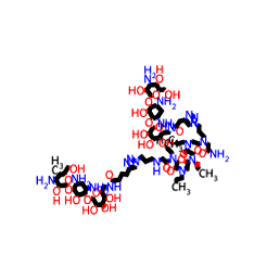 CCCN(CC(=O)N(CCC)CC(=O)N(CCC)CC(=O)N(CCC)CC(=O)N(CCCn1cc(CC(=O)NCC2OC(OC3C(N)CC(N)C(OC4OC(CO)C(O)C(N)C4O)C3O)C(O)C(O)C2O)nn1)CC(N)=O)C(=O)CNCCCn1cc(CCCC(=O)NCC2OC(OC3C(N)CC(N)C(OC4OC(CO)C(C)C(N)C4O)C3O)C(O)C(O)C2O)nn1